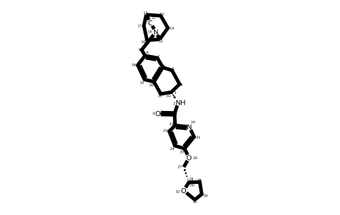 O=C(N[C@H]1CCc2cc(CN3CC4CCC3CC4)ccc2C1)c1ccc(OC[C@@H]2CCCO2)cn1